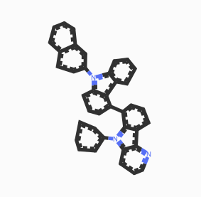 c1ccc(-n2c3cccnc3c3cccc(-c4cccc5c4c4ccccc4n5-c4ccc5ccccc5c4)c32)cc1